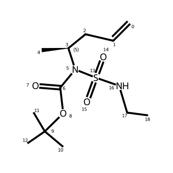 C=CC[C@H](C)N(C(=O)OC(C)(C)C)S(=O)(=O)NCC